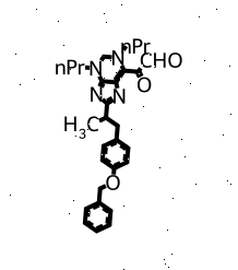 CCCN1CN(CCC)C(C(=O)C=O)=C2N=C(C(C)Cc3ccc(OCc4ccccc4)cc3)N=C21